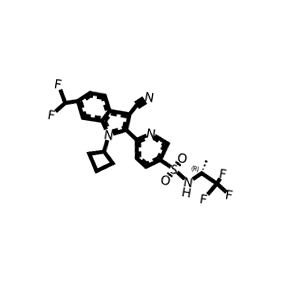 C[C@@H](NS(=O)(=O)c1ccc(-c2c(C#N)c3ccc(C(F)F)cc3n2C2CCC2)nc1)C(F)(F)F